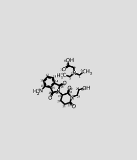 CCN(CC)CC(=O)O.Nc1cccc2c1C(=O)N(C1CCC(=O)N(CCO)C1=O)C2=O